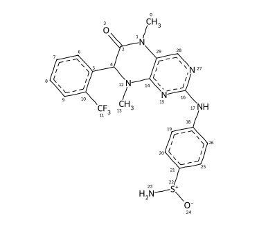 CN1C(=O)C(c2ccccc2C(F)(F)F)N(C)c2nc(Nc3ccc([S+](N)[O-])cc3)ncc21